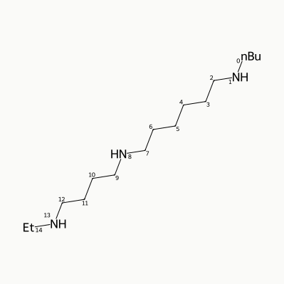 CCCCNCCCCCCNCCCCNCC